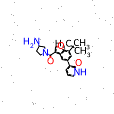 CC(C)(C)c1cc(-c2ccc[nH]c2=O)cc2c(C(=O)N3CCC(N)C3)coc12